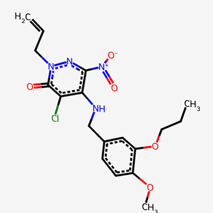 C=CCn1nc([N+](=O)[O-])c(NCc2ccc(OC)c(OCCC)c2)c(Cl)c1=O